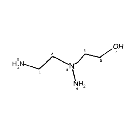 NCCN(N)CCO